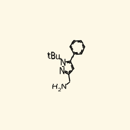 CC(C)(C)n1nc(CN)cc1-c1ccccc1